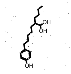 CCCCC(CCCCCc1ccc(O)cc1)C(O)O